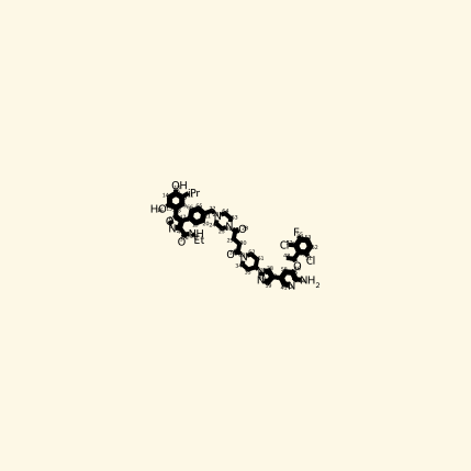 CCNC(=O)c1noc(-c2cc(C(C)C)c(O)cc2O)c1-c1ccc(CN2CCN(C(=O)CCC(=O)N3CCC(n4cc(-c5cnc(N)c(OC(C)c6c(Cl)ccc(F)c6Cl)c5)cn4)CC3)CC2)cc1